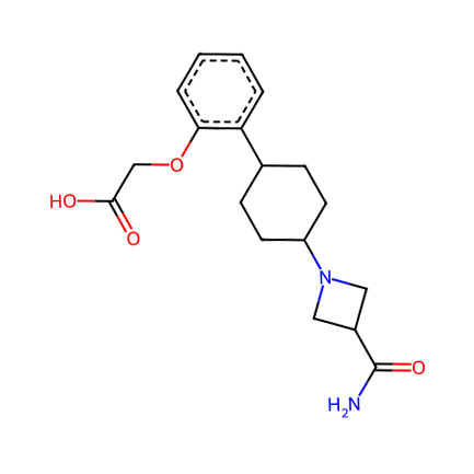 NC(=O)C1CN(C2CCC(c3ccccc3OCC(=O)O)CC2)C1